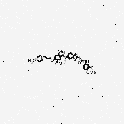 COc1ccc(NC(=O)Nc2nc3ccc(Nc4ncnc5cc(OCCCN6CCN(C)CC6)c(OC)cc45)cc3s2)cc1Cl